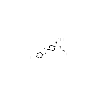 Cc1ccc(C(=O)N(C)c2ccc3c(c2)nc(N)n3CCC(N)=O)cc1